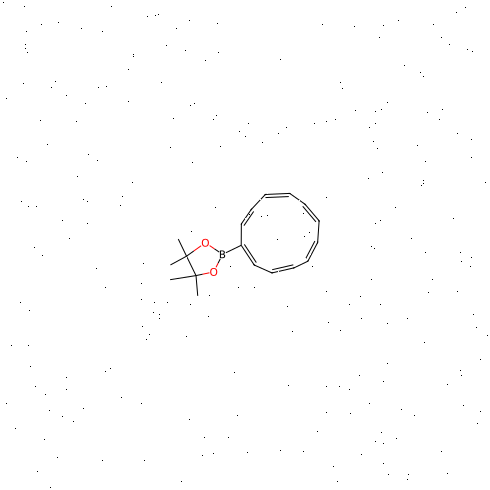 CC1(C)OB(C2=C/C=C\C=C/C=C\C=C/C=C\2)OC1(C)C